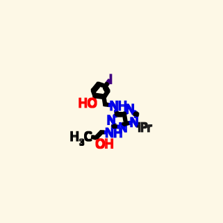 CC(O)CNc1nc(NCc2cc(I)ccc2O)c2ncn(C(C)C)c2n1